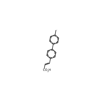 [CH2]c1ccc(-c2ccc(/C=C/C(=O)O)cc2)cc1